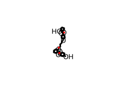 O=S(=O)(c1ccc(OCCCCCOc2ccccc2S(=O)(=O)c2ccc(O)cc2)cc1)c1ccccc1O